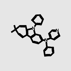 CC1(C)C=Cc2c(n(-c3ccccc3)c3cc(N(c4ccccc4)c4ccncc4)ccc23)C=C1